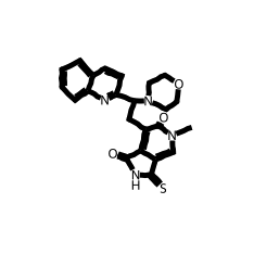 Cn1cc2c(c(CC(c3ccc4ccccc4n3)N3CCOCC3)c1=O)C(=O)NC2=S